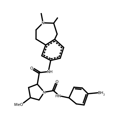 BC1=CCC(NC(=O)N2CC(OC)CC2C(=O)Nc2ccc3c(c2)CCN(C)C(C)C3)C=C1